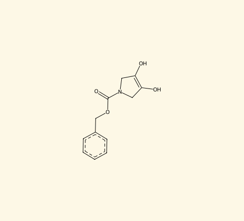 O=C(OCc1ccccc1)N1CC(O)=C(O)C1